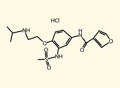 CC(C)NCCOc1ccc(NC(=O)c2ccoc2)cc1NS(C)(=O)=O.Cl